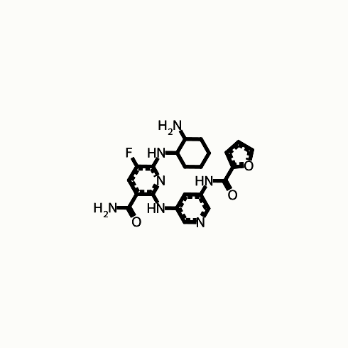 NC(=O)c1cc(F)c(NC2CCCCC2N)nc1Nc1cncc(NC(=O)c2ccco2)c1